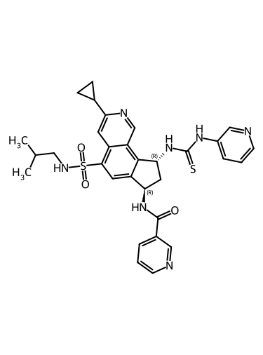 CC(C)CNS(=O)(=O)c1cc2c(c3cnc(C4CC4)cc13)[C@H](NC(=S)Nc1cccnc1)C[C@H]2NC(=O)c1cccnc1